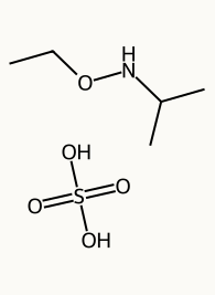 CCONC(C)C.O=S(=O)(O)O